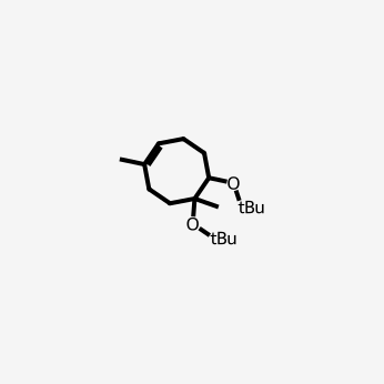 CC1=CCCC(OC(C)(C)C)C(C)(OC(C)(C)C)CC1